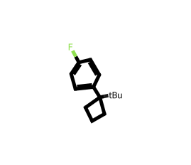 CC(C)(C)C1(c2ccc(F)cc2)CCC1